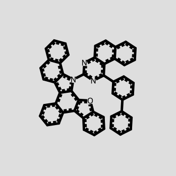 c1ccc(-c2cccc(-c3nc(-n4c5c6ccccc6ccc5c5c6ccccc6c6c7ccccc7oc6c54)nc4ccc5ccccc5c34)c2)cc1